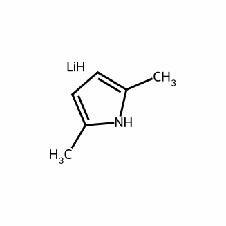 Cc1ccc(C)[nH]1.[LiH]